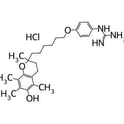 Cc1c(C)c2c(c(C)c1O)CCC(C)(CCCCCCOc1ccc(NC(=N)N)cc1)O2.Cl